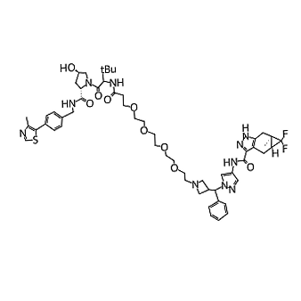 Cc1ncsc1-c1ccc(CNC(=O)[C@@H]2C[C@@H](O)CN2C(=O)C(NC(=O)CCOCCOCCOCCOCCN2CC(C(c3ccccc3)n3cc(NC(=O)c4n[nH]c5c4C[C@@H]4C(F)(F)[C@]4(C)C5)cn3)C2)C(C)(C)C)cc1